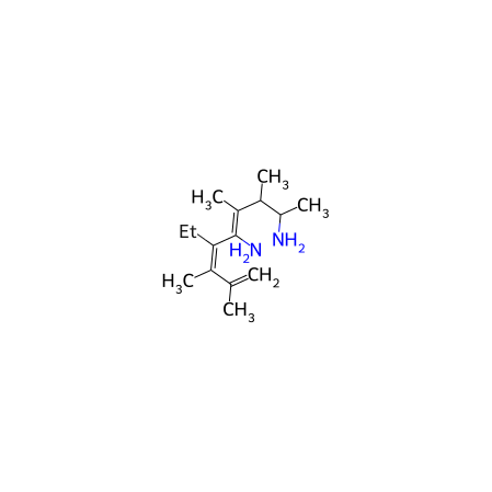 C=C(C)/C(C)=C(CC)\C(N)=C(/C)C(C)C(C)N